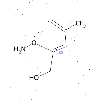 C=C(/C=C(/CO)ON)C(F)(F)F